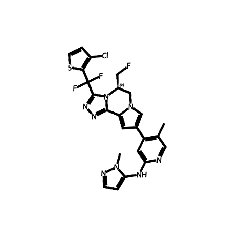 Cc1cnc(Nc2ccnn2C)cc1-c1cc2n(c1)C[C@H](CF)n1c-2nnc1C(F)(F)c1sccc1Cl